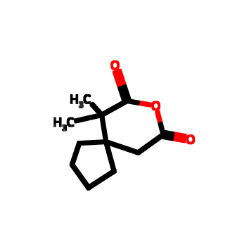 CC1(C)C(=O)OC(=O)CC12CCCC2